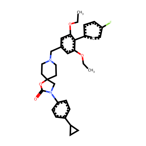 CCOc1cc(CN2CCC3(CC2)CN(c2ccc(C4CC4)cc2)C(=O)O3)cc(OCC)c1-c1ccc(F)cc1